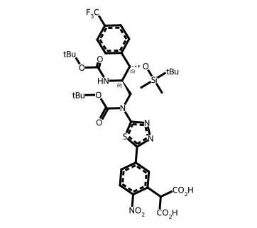 CC(C)(C)OC(=O)N[C@H](CN(C(=O)OC(C)(C)C)c1nnc(-c2ccc([N+](=O)[O-])c(C(C(=O)O)C(=O)O)c2)s1)[C@@H](O[Si](C)(C)C(C)(C)C)c1ccc(C(F)(F)F)cc1